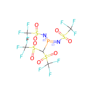 O=S(=O)(/N=P(=N/S(=O)(=O)C(F)(F)F)/C(S(=O)(=O)C(F)(F)F)S(=O)(=O)C(F)(F)F)C(F)(F)F